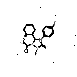 O=C1N(c2ccc(F)cc2)C(C2CCCCC2=S)N(C(Cl)Cl)N1F